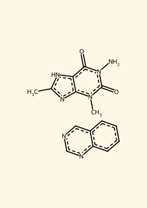 Cc1nc2c([nH]1)c(=O)n(N)c(=O)n2C.c1ccc2ncncc2c1